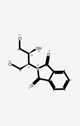 O=C1c2ccccc2C(=O)N1[C@@H](CCl)[C@H](O)CCl